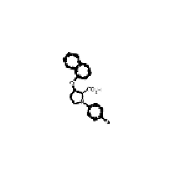 O=C(O)[C@@H]1C(Oc2cccc3ccccc23)CCN1c1ccc(Br)cc1